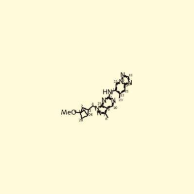 COC12CC(Cn3nc(C)c4cnc(Nc5cn6ncnc6cc5C)nc43)C(C1)C2